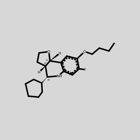 CCCCOc1cc2c(cc1F)N[C@H](C1CCCCC1)[C@@H]1CCO[C@H]21